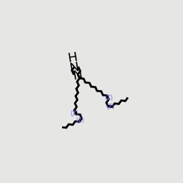 CCCCC/C=C\C/C=C\CCCCCCCCC(CCCCCCCC/C=C\C/C=C\CCCCC)N1CCNCC1